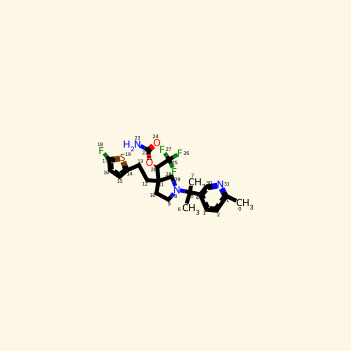 Cc1ccc(C(C)(C)N2CCC(CCc3ccc(F)s3)([C@H](OC(N)=O)C(F)(F)F)C2)cn1